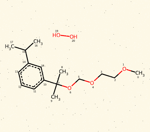 COCCOCOC(C)(C)c1cccc(C(C)C)c1.OO